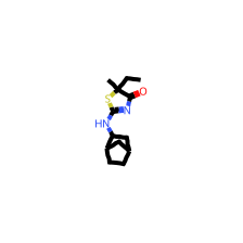 CCC1(C)SC(NC2CC3CCC2C3)=NC1=O